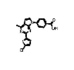 Cc1nc(-c2ccc(Cl)s2)nc2c1ccn2-c1ccc(C(=O)O)cc1